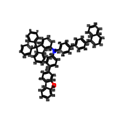 c1ccc(C2(c3ccccc3)c3ccccc3-c3c(N(c4ccc(-c5ccc(-c6cccc7ccccc67)cc5)cc4)c4ccc(-c5ccc6c(c5)oc5ccccc56)cc4)cccc32)cc1